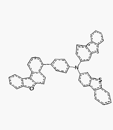 c1ccc2c(c1)oc1ccc3c(-c4ccc(N(c5ccc6c(c5)sc5ccccc56)c5ccc6c(c5)sc5ccccc56)cc4)cccc3c12